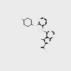 Cc1c(C(N)=O)sc2ncnc(Nc3cccnc3OC3CCC(O)CC3)c12